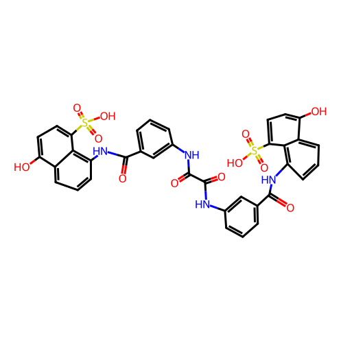 O=C(Nc1cccc(C(=O)Nc2cccc3c(O)ccc(S(=O)(=O)O)c23)c1)C(=O)Nc1cccc(C(=O)Nc2cccc3c(O)ccc(S(=O)(=O)O)c23)c1